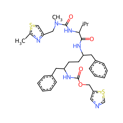 Cc1nc(CN(C)C(=O)NC(C(=O)NC(CCC(Cc2ccccc2)NC(=O)OCc2cncs2)Cc2ccccc2)C(C)C)cs1